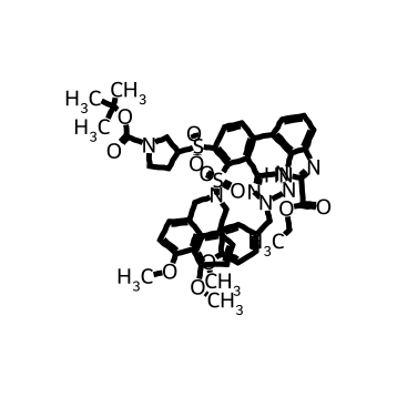 CCOC(=O)c1nc2cccc(-c3ccc(S(=O)(=O)C4CCN(C(=O)OC(C)(C)C)C4)c(S(=O)(=O)N(Cc4ccc(OC)cc4)Cc4ccc(OC)cc4)c3-c3nnn(Cc4ccc(OC)cc4)n3)c2[nH]1